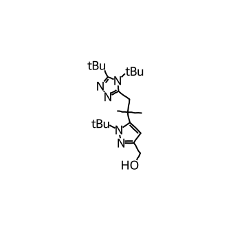 CC(C)(C)c1nnc(CC(C)(C)c2cc(CO)nn2C(C)(C)C)n1C(C)(C)C